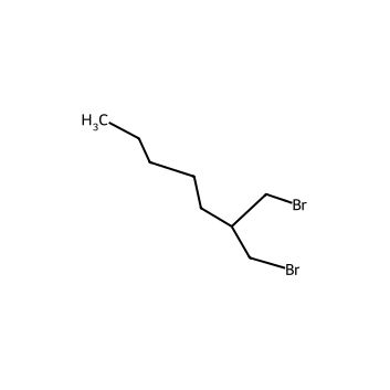 CCCCCC(CBr)CBr